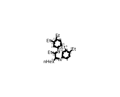 CCCCCCC(=Nc1ccc(CC)c(CC)c1)C(CC)=Nc1ccc(CC)c(CC)c1